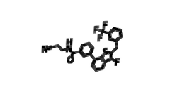 N#CCCNC(=O)c1cccc(-c2cccc3c(F)c(Cc4cccc(C(F)(F)F)c4)sc23)c1